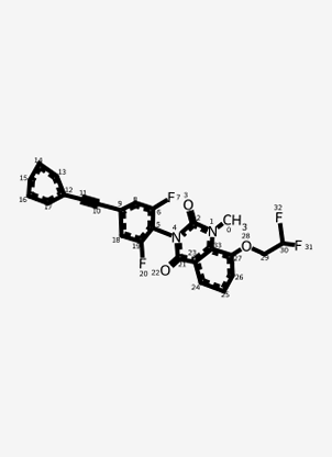 Cn1c(=O)n(-c2c(F)cc(C#Cc3ccccc3)cc2F)c(=O)c2cccc(OCC(F)F)c21